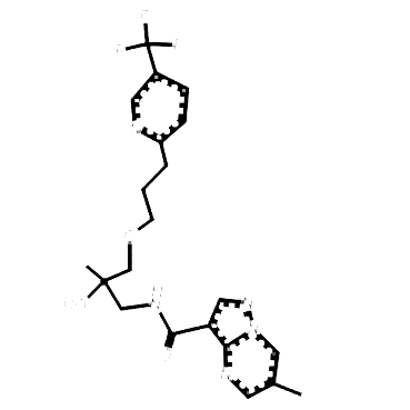 Cc1cnc2c(C(=O)NCC(C)(O)COCCCc3ccc(C(F)(F)F)cn3)cnn2c1